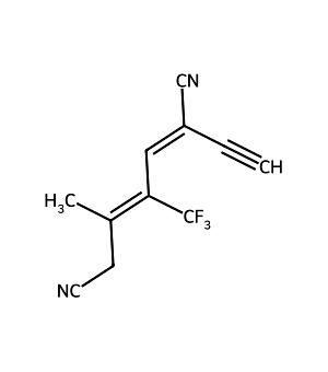 C#C/C(C#N)=C\C(=C(/C)CC#N)C(F)(F)F